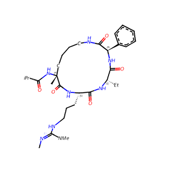 CC[C@@H]1NC(=O)[C@H](CCCN/C(=N/C)NC)NC(=O)[C@](C)(NC(=O)C(C)C)CCCCNC(=O)[C@@H](c2ccccc2)NC1=O